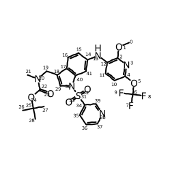 COc1nc(OC(F)(F)F)ccc1Nc1ccc2c(CN(C)C(=O)OC(C)(C)C)cn(S(=O)(=O)c3cccnc3)c2c1